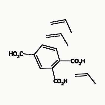 C=CC.C=CC.C=CC.O=C(O)c1ccc(C(=O)O)c(C(=O)O)c1